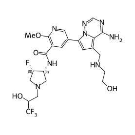 COc1ncc(-c2cc(CNCCO)c3c(N)ncnn23)cc1C(=O)N[C@@H]1CN(CC(O)C(F)(F)F)C[C@@H]1F